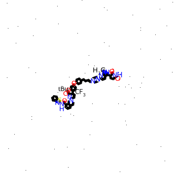 Cn1nc(C2CCC(=O)NC2=O)c2ccc(N3CCN(CCCCC4CCC(Oc5ccc(-c6ccc(N7CCc8cccc(C(=O)Nc9nc%10ccccc%10s9)c8C7)nc6C(=O)OC(C)(C)C)c(C(F)(F)F)c5)CC4)CC3)nc21